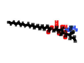 CCCCCCCCCCCCCCCCCC(=O)OCC(O)C1OCC(OC(=O)C(CCC)C(C)NN)C1O